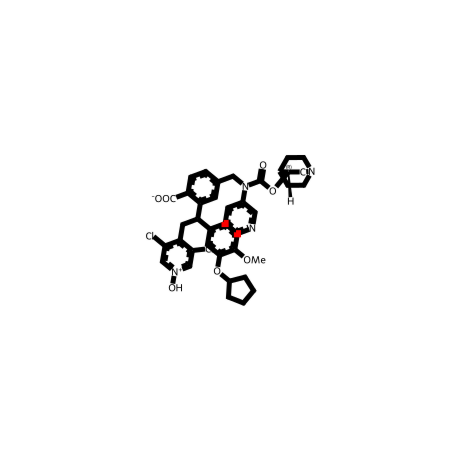 COc1ccc(C(Cc2c(Cl)c[n+](O)cc2Cl)c2cc(CN(C(=O)O[C@H]3CN4CCC3CC4)c3cccnc3)ccc2C(=O)[O-])cc1OC1CCCC1